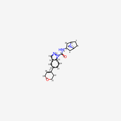 CN1C2CCC1CC(NC(=O)n1ncc3cc(C4=CCOCC4)ccc31)C2